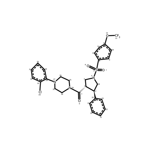 O=C([C@@H]1CN(S(=O)(=O)c2ccc(OC(F)(F)F)cc2)C[C@H]1c1ccccc1)N1CCN(c2ccccc2Cl)CC1